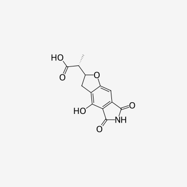 C[C@@H](C(=O)O)C1Cc2c(cc3c(c2O)C(=O)NC3=O)O1